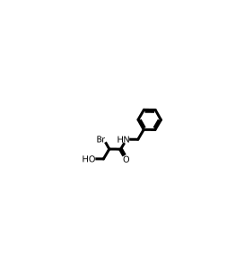 O=C(NCc1ccccc1)C(Br)CO